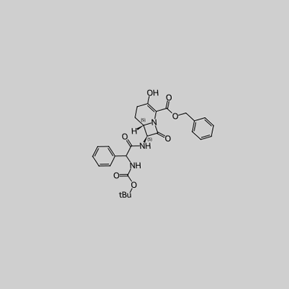 CC(C)(C)OC(=O)NC(C(=O)N[C@@H]1C(=O)N2C(C(=O)OCc3ccccc3)=C(O)CC[C@@H]12)c1ccccc1